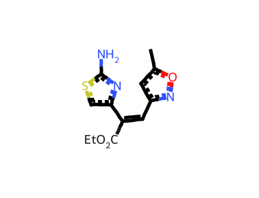 CCOC(=O)C(=Cc1cc(C)on1)c1csc(N)n1